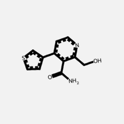 NC(=O)c1c(-c2ccsc2)ccnc1CO